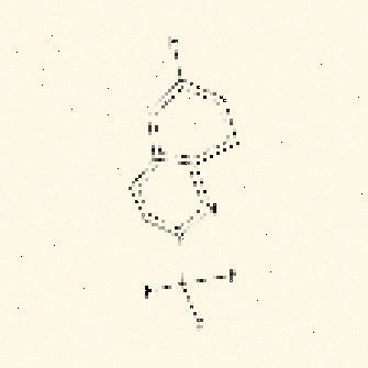 Fc1ccc2nc(C(F)(F)F)ccc2c1